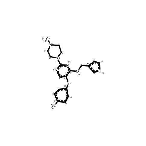 CN1CCN(c2ncc(Sc3ccc(C#N)cc3)c(OCc3ccoc3)n2)CC1